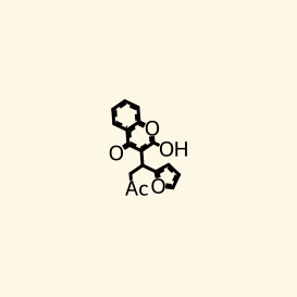 CC(=O)CC(c1ccco1)c1c(O)oc2ccccc2c1=O